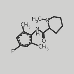 Cc1cc(F)cc(C)c1NC(=O)C1CCCCN1C